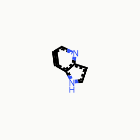 c1cnc2cc[nH]c2c#1